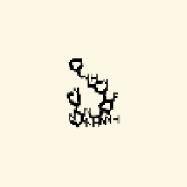 Fc1cc2[nH]nc(-c3nc4c(-c5ccncc5)nccc4[nH]3)c2cc1-c1cncc(CNCc2ccccc2)c1